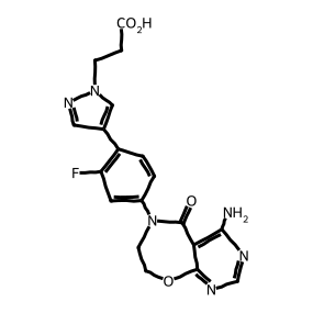 Nc1ncnc2c1C(=O)N(c1ccc(-c3cnn(CCC(=O)O)c3)c(F)c1)CCO2